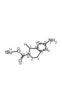 CC1c2sc(N)nc2CCN1C(=O)OC(C)(C)C